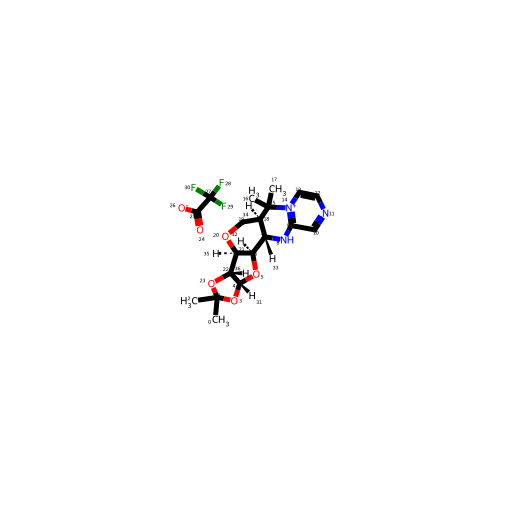 CC1(C)O[C@H]2O[C@@H]3[C@H]4Nc5cncc[n+]5C(C)(C)[C@@H]4CO[C@@H]3[C@H]2O1.O=C([O-])C(F)(F)F